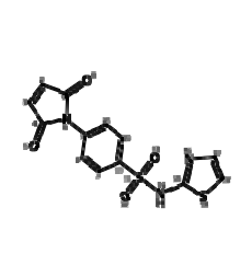 O=C1C=CC(=O)N1c1ccc(S(=O)(=O)Nc2nccs2)cc1